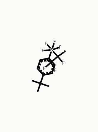 CC(C)(C)c1ccc(S(F)(F)(F)(F)C(F)(F)C(F)(F)Cl)cc1